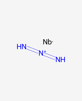 N=[N+]=N.[Nb]